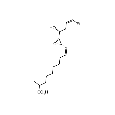 CC/C=C\C[C@H](O)[C@@H]1O[C@H]1/C=C\CCCCCCC(C)C(=O)O